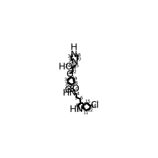 O=S(=O)(NCCCc1c[nH]c2ccc(Cl)cc12)c1ccc(OC[C@H](O)CN2CCNCC2)cc1